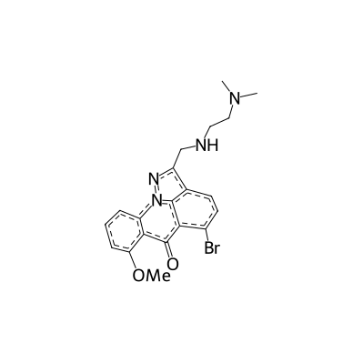 COc1cccc2c1c(=O)c1c(Br)ccc3c(CNCCN(C)C)nn2c31